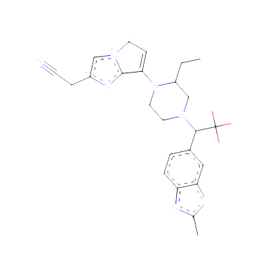 CCC1CN(C(c2ccc3nc(C)sc3c2)C(O)(O)O)CCN1C1=CCn2cc(CC#N)nc21